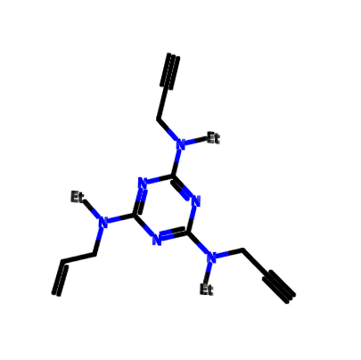 C#CCN(CC)c1nc(N(CC)CC#C)nc(N(CC)CC=C)n1